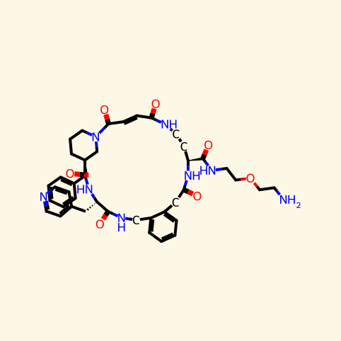 NCCOCCNC(=O)[C@@H]1CCNC(=O)/C=C/C(=O)N2CCC[C@](Cc3ccccc3)(C2)C(=O)N[C@@H](Cc2ccncc2)C(=O)NCc2ccccc2CC(=O)N1